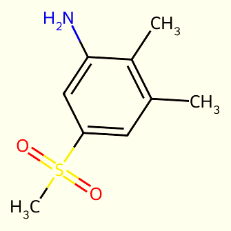 Cc1cc(S(C)(=O)=O)cc(N)c1C